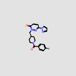 O=C(c1ccc(F)cc1)N1CCC(Cn2nc(-n3cccn3)ccc2=O)CC1